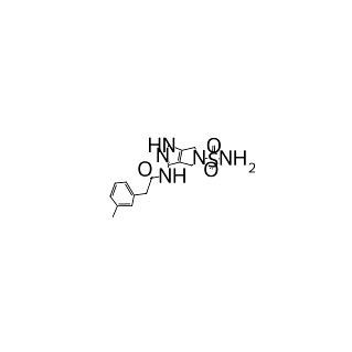 Cc1cccc(CC(=O)Nc2n[nH]c3c2CN(S(N)(=O)=O)C3)c1